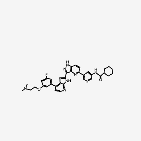 CN(C)CCOc1cc(F)cc(-c2ccnc3[nH]c(-c4n[nH]c5ccc(-c6cncc(NC(=O)C7CCCCC7)c6)nc45)cc23)c1